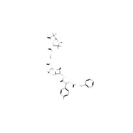 CC1(C)S[C@@H]2C(NC(=O)C(NC(=O)OCc3ccccc3)c3ccc(O)cc3)C(=O)N2[C@H]1C(=O)OCOC(=O)[C@@H]1N2C(=O)C(Br)(Br)[C@H]2S(=O)(=O)C1(C)C